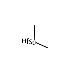 [CH3][Sn][CH3].[Hf]